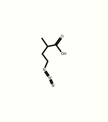 CC(CCN=[N+]=[N-])C(=O)O